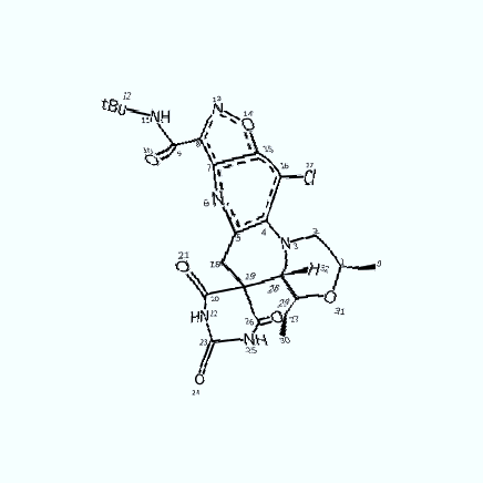 C[C@@H]1CN2c3c(nc4c(C(=O)NC(C)(C)C)noc4c3Cl)CC3(C(=O)NC(=O)NC3=O)[C@H]2[C@H](C)O1